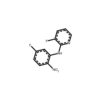 O=[N+]([O-])c1ccc(F)cc1Nc1ncccc1F